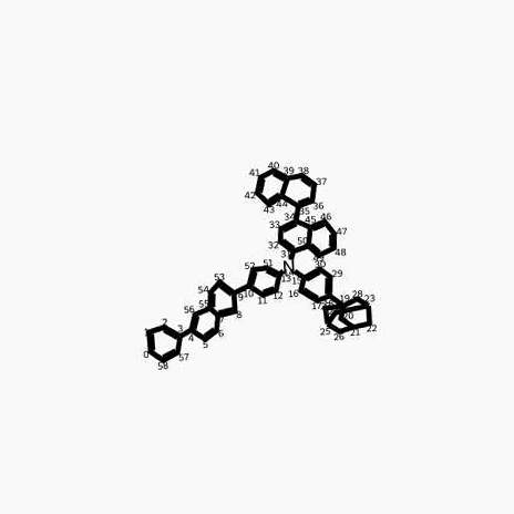 c1ccc(-c2ccc3cc(-c4ccc(N(c5ccc(C67CC8CC(CC(C8)C6)C7)cc5)c5ccc(-c6cccc7ccccc67)c6ccccc56)cc4)ccc3c2)cc1